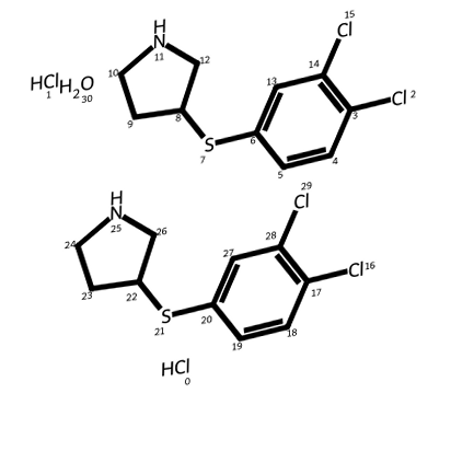 Cl.Cl.Clc1ccc(SC2CCNC2)cc1Cl.Clc1ccc(SC2CCNC2)cc1Cl.O